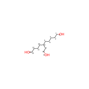 OCCCCCC(CCO)CCCCO